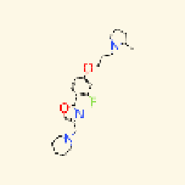 CC1CCCN1CCCOc1ccc(-c2nc(CN3CCCCC3)co2)c(F)c1